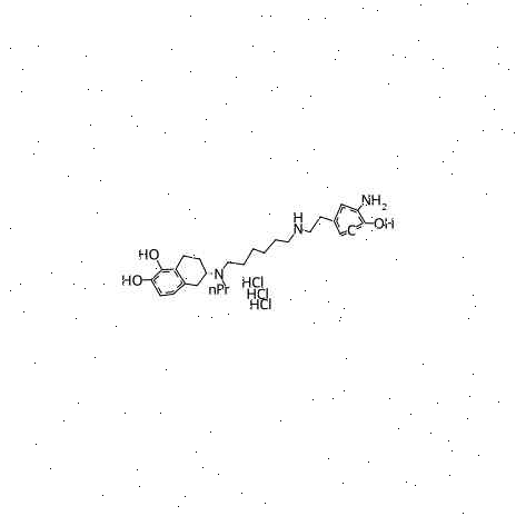 CCCN(CCCCCCNCCc1ccc(O)c(N)c1)[C@H]1CCc2c(ccc(O)c2O)C1.Cl.Cl.Cl